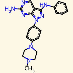 CN1CCN(c2ccc(-n3nc(Nc4ccccc4)c4cnc(N)nc43)cc2)CC1